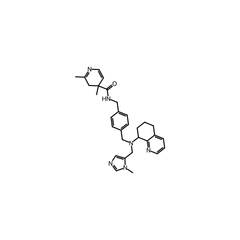 CC1=NC=CC(C)(C(=O)NCc2ccc(CN(Cc3cncn3C)C3CCCc4cccnc43)cc2)C1